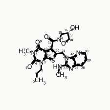 CCCn1c(=O)n(C)c(=O)c2c(C(=O)N3C[C@H](O)CO3)c(Cn3c(NC)nc4cccnc43)sc21